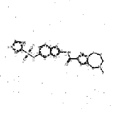 CN1CCCn2nc(C(=O)Nc3nc4ccc(NS(=O)(=O)c5nnc[nH]5)cc4s3)cc2C1